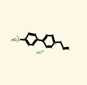 C=CCc1ccc(-c2ccc(C(=O)O)cc2)cc1.Cl